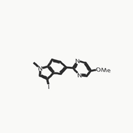 COc1cnc(-c2ccc3c(c2)c(I)cn3C)nc1